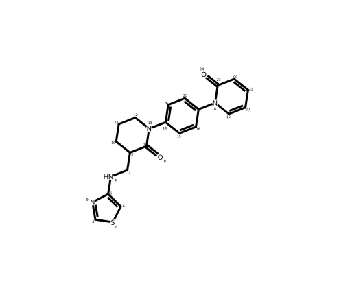 O=C1C(CNc2cscn2)CCCN1c1ccc(-n2ccccc2=O)cc1